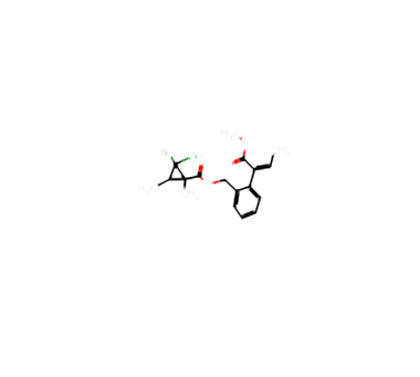 CC=C(C(=O)OC)c1ccccc1COC(=O)C1(C)C(C)C1(Br)Br